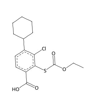 CCOC(=O)Sc1c(C(=O)O)ccc(C2CCCCC2)c1Cl